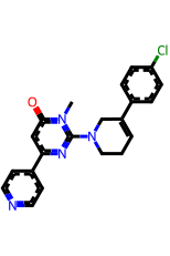 Cn1c(N2CCC=C(c3ccc(Cl)cc3)C2)nc(-c2ccncc2)cc1=O